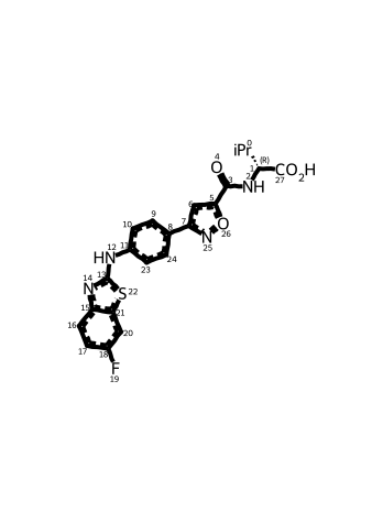 CC(C)[C@@H](NC(=O)c1cc(-c2ccc(Nc3nc4ccc(F)cc4s3)cc2)no1)C(=O)O